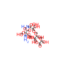 NC(OO)(OC(=O)C(N)(OO)OO)C(=O)O.O=C(O)C(=O)O.O=C(O)C(=O)O